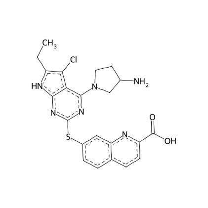 CCc1[nH]c2nc(Sc3ccc4ccc(C(=O)O)nc4c3)nc(N3CCC(N)C3)c2c1Cl